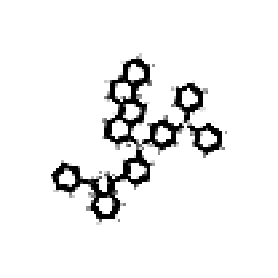 c1ccc(-c2oc(-c3cccc(N(c4ccc(N(c5ccccc5)c5ccccc5)cc4)c4cccc5c4ccc4c6ccccc6ccc54)c3)c3ccccc23)cc1